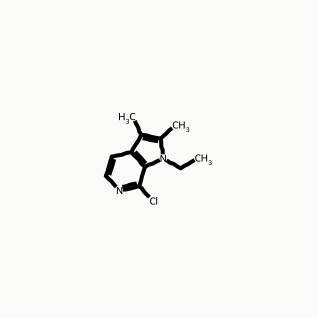 CCn1c(C)c(C)c2ccnc(Cl)c21